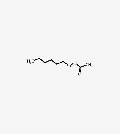 CCCCC[CH2][Sn][O]C(C)=O